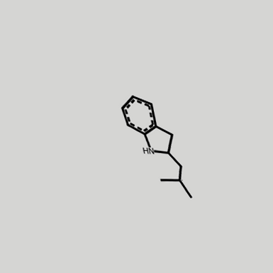 C[C](C)CC1Cc2ccccc2N1